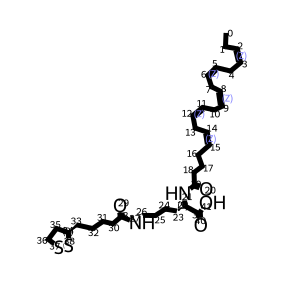 CC/C=C\C/C=C\C/C=C\C/C=C\C/C=C\CCCC(=O)N[C@@H](CCCCNC(=O)CCCC[C@@H]1CCSS1)C(=O)O